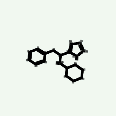 c1ccc(CC(NC2CCCCC2)c2nnn[nH]2)cc1